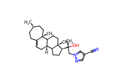 C[C@@H]1CCC2=CC[C@@H]3C(CC[C@@]4(C)C3CC[C@@H]4C(C)(O)Cn3cc(C#N)cn3)[C@@]2(C)CC1